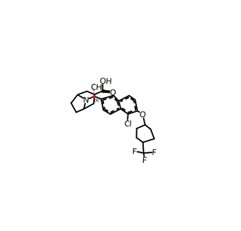 C[C@H](c1ccc2c(Cl)c(OC3CCC(C(F)(F)F)CC3)ccc2c1)N1C2CCC1CC(C(=O)O)C2